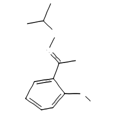 [CH2]Sc1ccccc1C(C)=N[16O]C(C)C